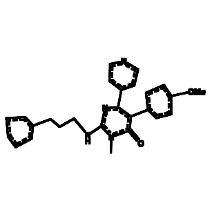 COc1ccc(-c2c(-c3ccncc3)nc(NCCCc3ccccc3)n(C)c2=O)cc1